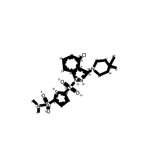 CN(C)S(=O)(=O)c1ccc(S(=O)(=O)n2nc(N3CCC(C)(C)CC3)c3c(Cl)cccc32)s1